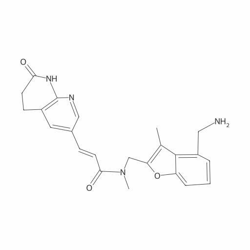 Cc1c(CN(C)C(=O)/C=C/c2cnc3c(c2)CCC(=O)N3)oc2cccc(CN)c12